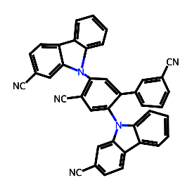 N#Cc1cccc(-c2cc(-n3c4ccccc4c4ccc(C#N)cc43)c(C#N)cc2-n2c3ccccc3c3ccc(C#N)cc32)c1